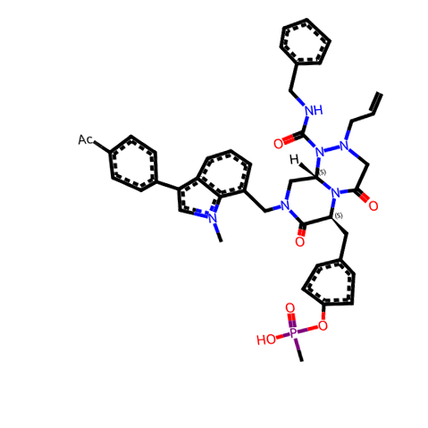 C=CCN1CC(=O)N2[C@@H](Cc3ccc(OP(C)(=O)O)cc3)C(=O)N(Cc3cccc4c(-c5ccc(C(C)=O)cc5)cn(C)c34)C[C@@H]2N1C(=O)NCc1ccccc1